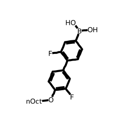 CCCCCCCCOc1ccc(-c2ccc(B(O)O)cc2F)cc1F